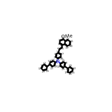 COc1ccc(C=Cc2ccc(N(c3ccc(-c4ccccc4)cc3)c3ccc(-c4ccccc4)cc3)cc2)c2ccccc12